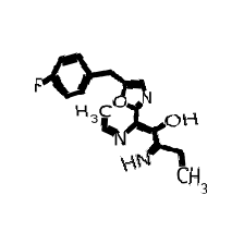 C/C=N\C(=C(\O)C(=N)CC)c1ncc(Cc2ccc(F)cc2)o1